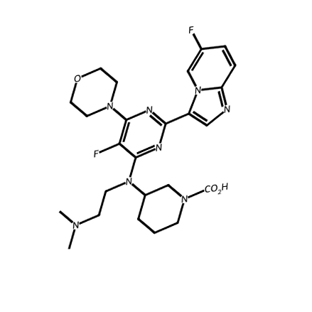 CN(C)CCN(c1nc(-c2cnc3ccc(F)cn23)nc(N2CCOCC2)c1F)C1CCCN(C(=O)O)C1